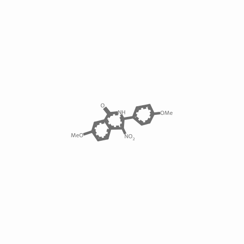 COc1ccc(-c2[nH]c(=O)c3cc(OC)ccc3c2[N+](=O)[O-])cc1